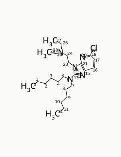 CCCCCCN(CCCCCC)c1nc2ccc(Cl)nc2n1CCN(CC)CC